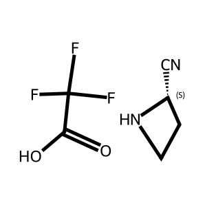 N#C[C@@H]1CCN1.O=C(O)C(F)(F)F